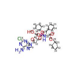 Nc1nc(Cl)nc2c1ncn2[C@H]1CC(OP(=O)(N[C@@H](Cc2ccccc2)C(=O)OCc2ccccc2)Oc2ccccc2)[C@@H](CO)O1